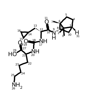 CC1(C)[C@@H]2CC[C@@]1(C)[C@@H](NC(=O)[C@@H](CC1CC1)NC(=O)NC(CCCCN)C(=O)O)C2